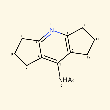 CC(=O)Nc1c2c(nc3c1CCC3)CCC2